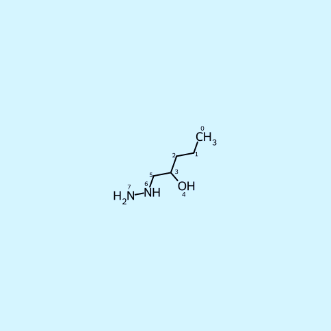 CCCC(O)CNN